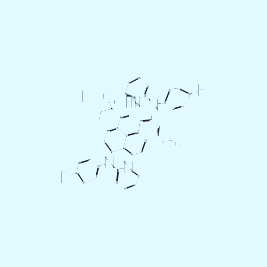 CC(C)c1cc(N(c2ccc(F)cc2)c2ccccn2)c2cc3c4c(cc(N(c5ccc(F)cc5)c5ccccn5)c5ccc1c2c54)CCC3(C)C